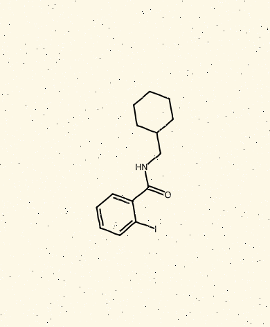 O=C(NCC1CCCCC1)c1ccccc1I